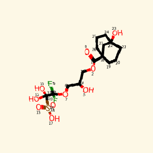 O=C(OCC(O)COC(F)(F)C(O)(O)S(=O)(=O)O)C12CCCC(O)(CCC1)C2